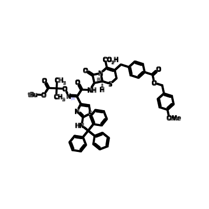 COc1ccc(COC(=O)c2ccc(CC3=C(C(=O)O)N4C(=O)C(NC(=O)/C(=N\OC(C)(C)C(=O)OC(C)(C)C)c5csc(NC(c6ccccc6)(c6ccccc6)c6ccccc6)n5)[C@@H]4SC3)cc2)cc1